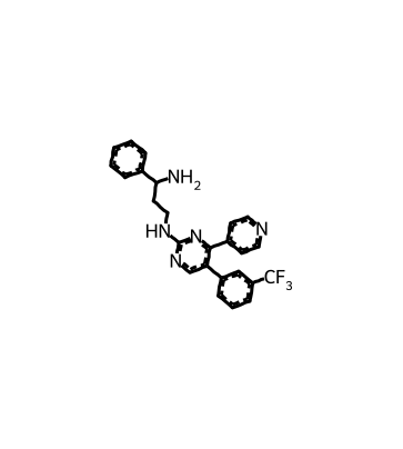 NC(CCNc1ncc(-c2cccc(C(F)(F)F)c2)c(-c2ccncc2)n1)c1ccccc1